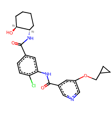 O=C(Nc1cc(C(=O)N[C@H]2CCCC[C@@H]2O)ccc1Cl)c1cncc(OCC2CC2)c1